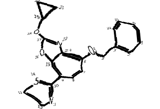 c1ccc(COc2ccc(-c3nccs3)c3oc(OC4CC4)nc23)cc1